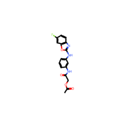 CC(=O)OCC(=O)Nc1cccc(Nc2nc3ccc(F)cc3o2)c1